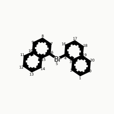 c1ccc2[c]([Bi][c]3cccc4ccccc34)cccc2c1